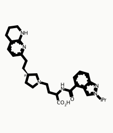 CC(C)n1cc2c(C(=O)NC(CCN3CC[C@@H](CCc4ccc5c(n4)NCCC5)C3)C(=O)O)cccc2n1